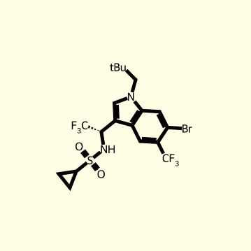 CC(C)(C)Cn1cc([C@H](NS(=O)(=O)C2CC2)C(F)(F)F)c2cc(C(F)(F)F)c(Br)cc21